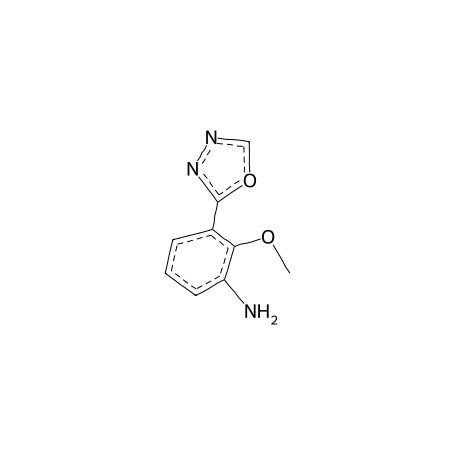 COc1c(N)cccc1-c1nnco1